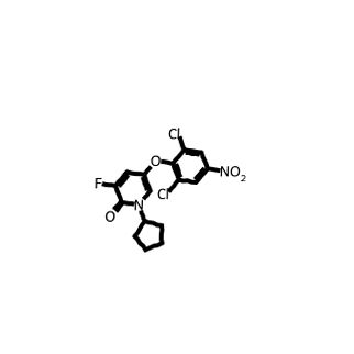 O=c1c(F)cc(Oc2c(Cl)cc([N+](=O)[O-])cc2Cl)cn1C1CCCC1